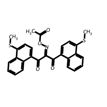 CSc1ccc(C(=O)C(=NOC(C)=O)C(=O)c2ccc(SC)c3ccccc23)c2ccccc12